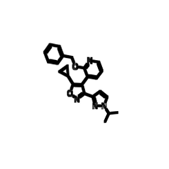 CC(C)n1ccc(-c2noc(C3CC3)c2-c2cccnc2OCc2ccccc2)n1